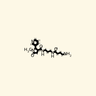 CN1C(=O)CC(C(=O)NCCCNC(=O)CCCN)C1c1cccnc1